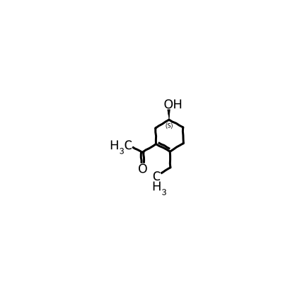 CCC1=C(C(C)=O)C[C@@H](O)CC1